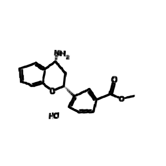 COC(=O)c1cccc([C@H]2C[C@@H](N)c3ccccc3O2)c1.Cl